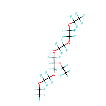 FC(F)(F)C(F)(F)OC(F)(F)C(F)(F)OC(F)(F)C(F)(F)OC(F)(F)C(F)(OC(F)(F)C(F)(F)F)C(F)(F)OC(F)(F)C(F)(F)OC(F)(F)C(F)(F)F